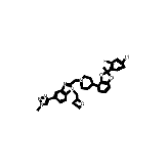 Cn1cc(-c2ccc3c(c2)nc(CN2CCC(c4cccc5c4OC(C)(c4ccc(Cl)cc4F)O5)CC2)n3CC2CCO2)nn1